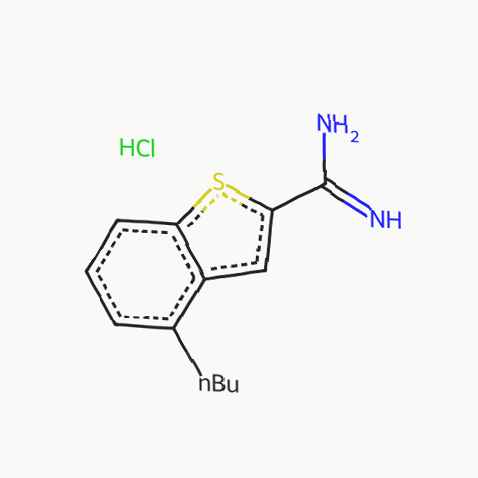 CCCCc1cccc2sc(C(=N)N)cc12.Cl